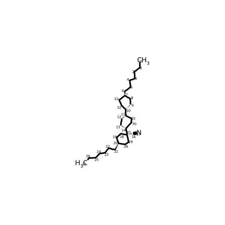 CCCCCCC[C@H]1CC[C@H]([C@H]2CC[C@@H]([C@]3(C#N)CC[C@H](CCCCCCC)CC3)CC2)CC1